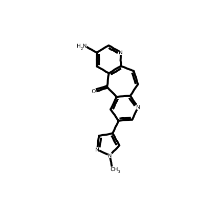 Cn1cc(-c2cnc3ccc4ncc(N)cc4c(=O)c3c2)cn1